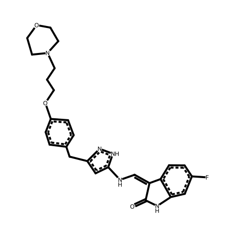 O=C1Nc2cc(F)ccc2C1=CNc1cc(Cc2ccc(OCCCN3CCOCC3)cc2)n[nH]1